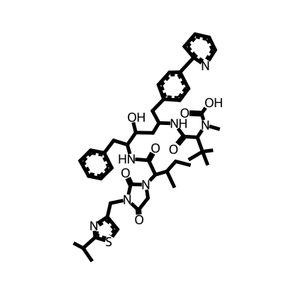 CCC(C)C(C(=O)NC(Cc1ccccc1)C(O)CC(Cc1ccc(-c2ccccn2)cc1)NC(=O)C(N(C)C(=O)O)C(C)(C)C)N1CC(=O)N(Cc2csc(C(C)C)n2)C1=O